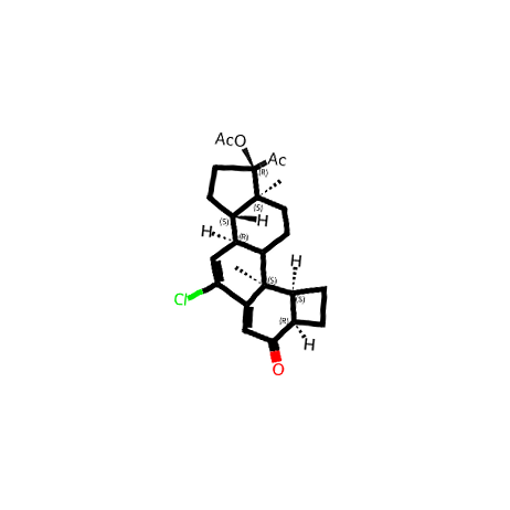 CC(=O)O[C@]1(C(C)=O)CC[C@H]2[C@@H]3C=C(Cl)C4=CC(=O)[C@@H]5CC[C@@H]5[C@]4(C)C3CC[C@@]21C